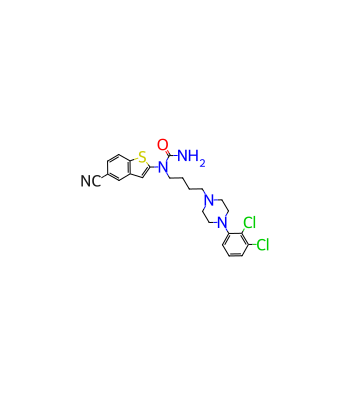 N#Cc1ccc2sc(N(CCCCN3CCN(c4cccc(Cl)c4Cl)CC3)C(N)=O)cc2c1